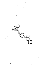 CC(=O)NCCN1CCN(C(=O)Cc2ccccn2)CC1